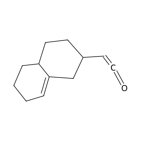 O=C=CC1CCC2CCCC=C2C1